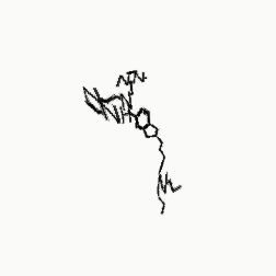 CCCN(CCC)CCCCC1Cc2ccc(CN(Cc3ncc[nH]3)Cc3nccn3C)cc2C1